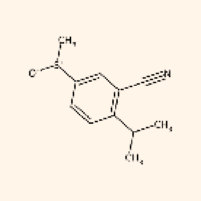 CC(C)c1ccc([S+](C)[O-])cc1C#N